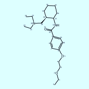 CCOCCOc1ccc(C(=O)NC2CCCC[C@@H]2CN(CC)CC)cc1